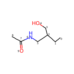 CCC(CO)CNC(C)=O